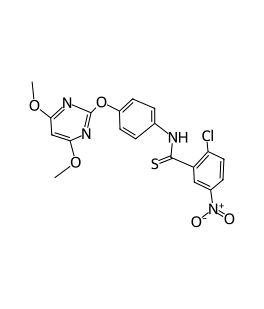 COc1cc(OC)nc(Oc2ccc(NC(=S)c3cc([N+](=O)[O-])ccc3Cl)cc2)n1